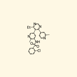 CCc1ncnc(-c2ccnc(C)c2)c1-c1cnc(C)c(NS(=O)(=O)c2ccccc2Cl)c1